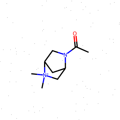 CC(=O)N1CC2CC1C[N+]2(C)C